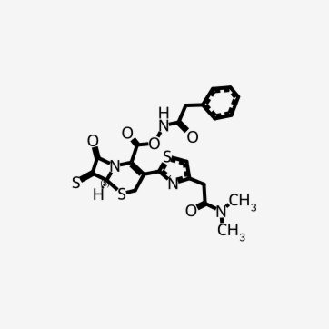 CN(C)C(=O)Cc1csc(C2=C(C(=O)ONC(=O)Cc3ccccc3)N3C(=O)C(=S)[C@@H]3SC2)n1